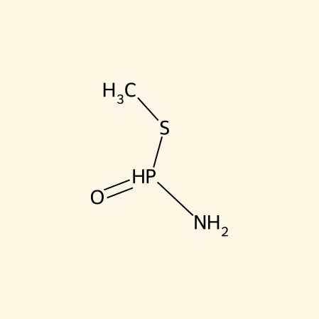 CS[PH](N)=O